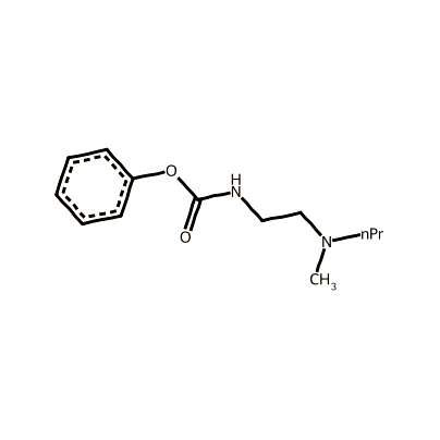 CCCN(C)CCNC(=O)Oc1ccccc1